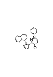 O=c1ccn(-c2ccccc2)nc1-c1ccnn1-c1cccc2ccccc12